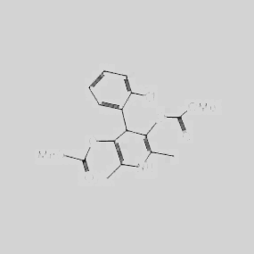 COC(=O)OC1=C(C)NC(C)=C(OC(=O)OC)C1c1ccccc1Cl